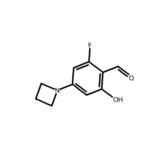 O=Cc1c(O)cc(N2CCC2)cc1F